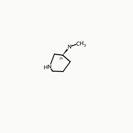 C[N][C@H]1CCCNC1